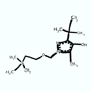 Cc1c(O)c(C(C)(C)C)nn1COCC[Si](C)(C)C